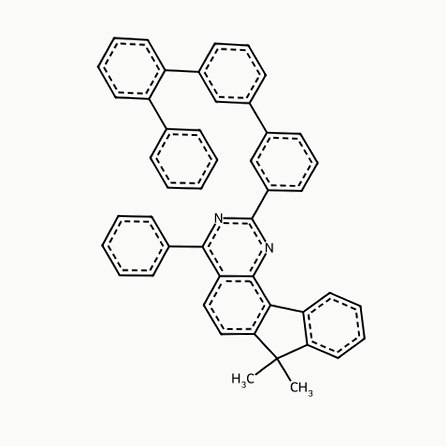 CC1(C)c2ccccc2-c2c1ccc1c(-c3ccccc3)nc(-c3cccc(-c4cccc(-c5ccccc5-c5ccccc5)c4)c3)nc21